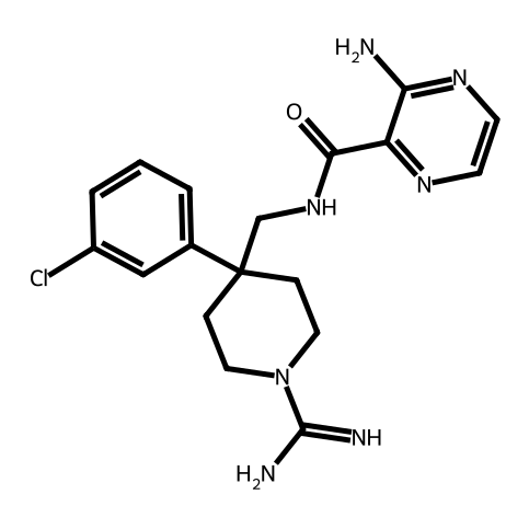 N=C(N)N1CCC(CNC(=O)c2nccnc2N)(c2cccc(Cl)c2)CC1